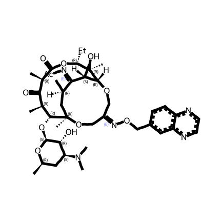 CC[C@H]1OC(=O)[C@H](C)C(=O)[C@H](C)[C@@H](O[C@@H]2O[C@H](C)C[C@H](N(C)C)[C@H]2O)[C@@]2(C)C[C@@H](C)/C(=N\C(C)=O)[C@H](C)[C@@H](OC/C(=N\OCc3ccc4nccnc4c3)CO2)[C@]1(C)O